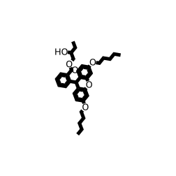 CCCCCOc1ccc2c(c1)Oc1cc(OCCCCC)ccc1C2c1ccccc1C(=O)OCC(O)CC